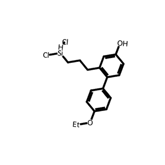 CCOc1ccc(-c2ccc(O)cc2CCC[SiH](Cl)Cl)cc1